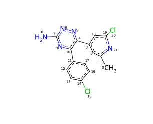 Cc1cc(-c2nnc(N)nc2-c2ccc(Cl)cc2)cc(Cl)n1